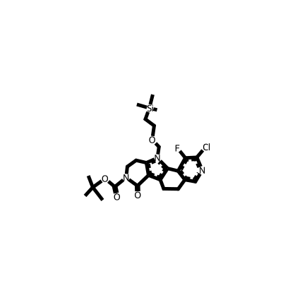 CC(C)(C)OC(=O)N1CCc2c(c3c(n2COCC[Si](C)(C)C)-c2c(cnc(Cl)c2F)CC3)C1=O